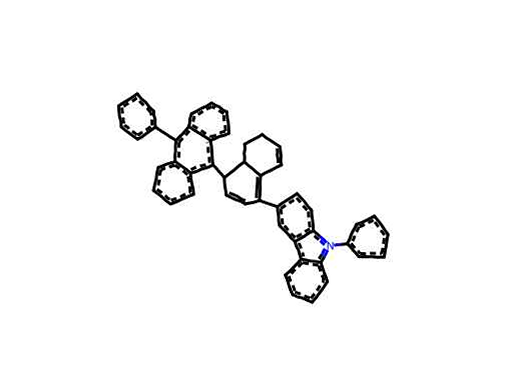 C1=CC2=C(c3ccc4c(c3)c3ccccc3n4-c3ccccc3)C=CC(c3c4ccccc4c(-c4ccccc4)c4ccccc34)C2CC1